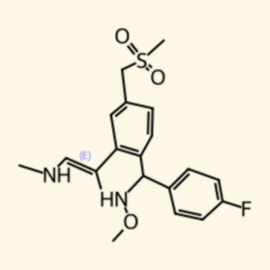 CN/C=C(\C)c1cc(CS(C)(=O)=O)ccc1C(NOC)c1ccc(F)cc1